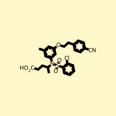 Cc1cc(OCCc2ccc(C#N)cc2)cc(N(C(C)CCC(=O)O)S(=O)(=O)c2ccccc2Cl)c1